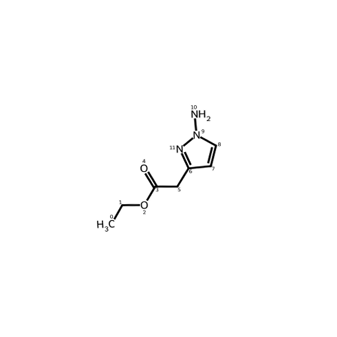 CCOC(=O)Cc1ccn(N)n1